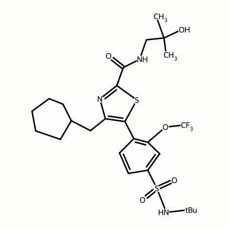 CC(C)(O)CNC(=O)c1nc(CC2CCCCC2)c(-c2ccc(S(=O)(=O)NC(C)(C)C)cc2OC(F)(F)F)s1